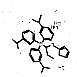 CC[CH]([Ti][C]1=CC=CC1)[Si](c1cccc(C(C)C)c1)(c1cccc(C(C)C)c1)c1cccc(C(C)C)c1.Cl.Cl.Cl